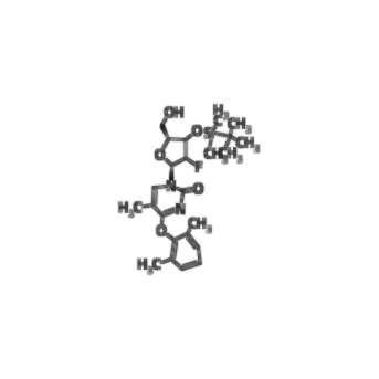 Cc1cn([C@H]2O[C@@H](CO)C(O[Si](C)(C)C(C)(C)C)C2F)c(=O)nc1Oc1c(C)cccc1C